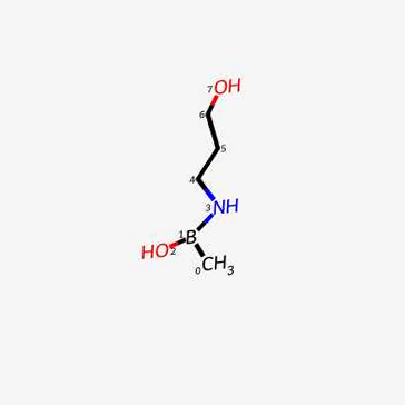 CB(O)NCCCO